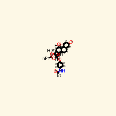 CCCC1O[C@@H]2CC3[C@@H]4CCC5=CC(=O)C=C[C@]5(C)C4[C@@H](O)C[C@]3(C)[C@]2(C(=O)COc2ccc(NC(=O)CC)cc2)O1